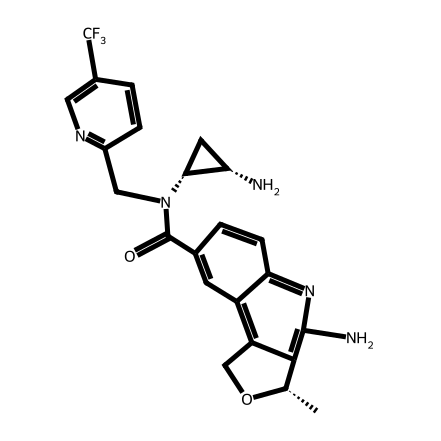 C[C@@H]1OCc2c1c(N)nc1ccc(C(=O)N(Cc3ccc(C(F)(F)F)cn3)[C@@H]3C[C@@H]3N)cc21